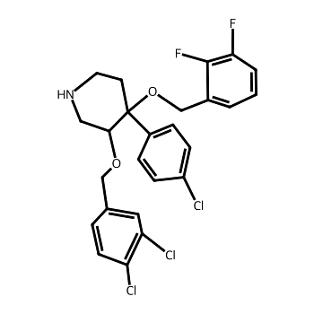 Fc1cccc(COC2(c3ccc(Cl)cc3)CCNCC2OCc2ccc(Cl)c(Cl)c2)c1F